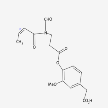 C/C=C\C(=O)N(C=O)CCC(=O)Oc1ccc(CC(=O)O)cc1OC